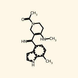 CNC1=C(C(=N)c2ccc(C)c3[nH]ccc23)CN(C(C)=O)CC1